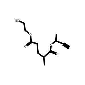 C#CC(C)OC(=O)C(C)CCC(=O)OCCC#N